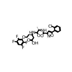 C[C@H](NC(=O)c1cc(-c2ccccc2Cl)on1)C(=O)N[C@H](CCOc1c(F)c(F)cc(F)c1F)CC(=O)O